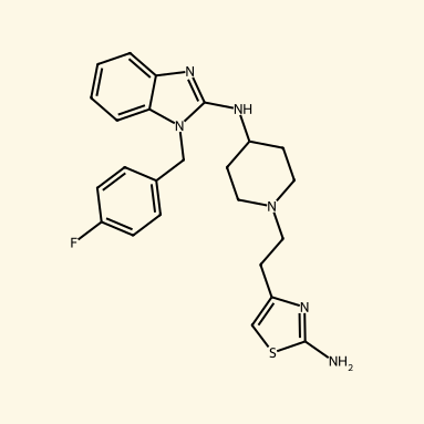 Nc1nc(CCN2CCC(Nc3nc4ccccc4n3Cc3ccc(F)cc3)CC2)cs1